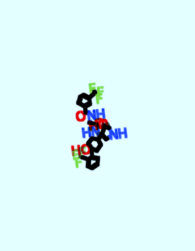 O=C(CNC(=O)c1cccc(C(F)(F)F)c1)N[C@@]1(C2CCC(O)(c3ccccc3C(F)(F)F)CC2)CNC[C@@H]1O